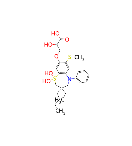 CCCC[C@@]1(CC)CN(c2ccccc2)c2cc(SC)c(OC[C@@H](O)C(=O)O)cc2S(O)(O)C1